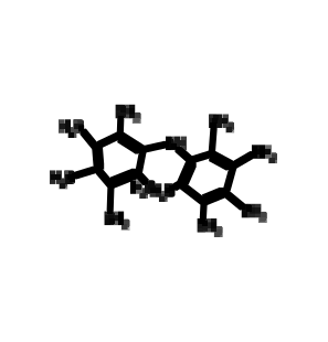 Bc1c(B)c(B)c(Nc2c(B)c(B)c(B)c(B)c2B)c(B)c1B